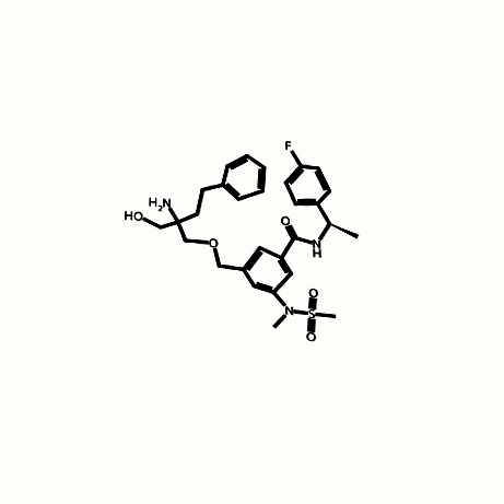 C[C@@H](NC(=O)c1cc(COCC(N)(CO)CCc2ccccc2)cc(N(C)S(C)(=O)=O)c1)c1ccc(F)cc1